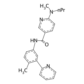 CCCN(C)c1ccc(C(=O)Nc2ccc(C)c(-c3ccccn3)c2)cn1